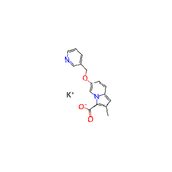 Cc1cc2ccc(OCc3cccnc3)cn2c1C(=O)[O-].[K+]